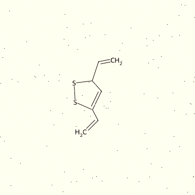 C=CC1=CC(C=C)SS1